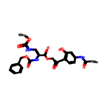 COC(=O)Nc1ccc(C(=O)COC(=O)C(CNC(=O)OC(C)(C)C)NC(=O)OCc2ccccc2)c(O)c1